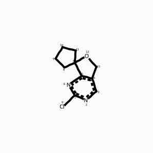 Clc1ncc2c(n1)C1(CCCC1)OC2